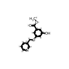 COC(=O)c1cc(O)cc(OCc2cccnc2)c1